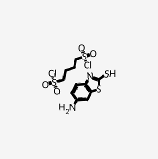 Nc1ccc2nc(S)sc2c1.O=S(=O)(Cl)CCCCS(=O)(=O)Cl